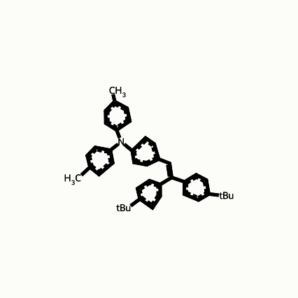 Cc1ccc(N(c2ccc(C)cc2)c2ccc(C=C(c3ccc(C(C)(C)C)cc3)c3ccc(C(C)(C)C)cc3)cc2)cc1